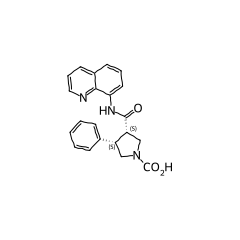 O=C(Nc1cccc2cccnc12)[C@@H]1CN(C(=O)O)C[C@@H]1c1ccccc1